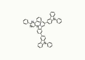 c1ccc(-c2ncc(-n3c4ccc(-c5ccc6c(c5)c5ccccc5n6-c5ccccc5)cc4c4cc(-c5ccc6c(c5)c5ccccc5n6-c5ccccc5)ccc43)c(-c3ccccc3)n2)cc1